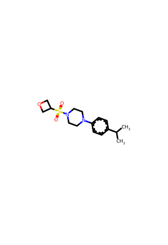 CC(C)c1ccc(N2CCN(S(=O)(=O)C3COC3)CC2)cc1